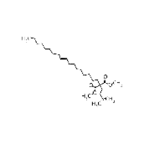 CCCCCCCCC=CCCCCCCCCC(CCN(C)C)(C(=O)OC)C(=O)OC